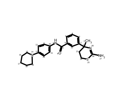 CC1(c2cccc(C(=O)Nc3ccc(N4CCCCC4)cc3)c2)CCSC(N)=N1